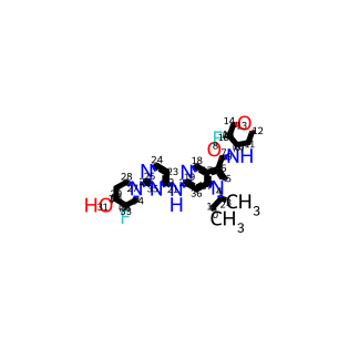 CCC(C)n1cc(C(=O)N[C@H]2CCOC[C@H]2F)c2cnc(Nc3ccnc(N4CC[C@@H](O)[C@@H](F)C4)n3)cc21